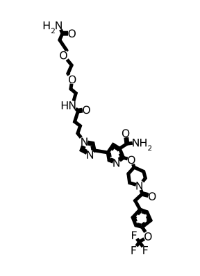 NC(=O)CCOCCOCCNC(=O)CCCn1cnc(-c2cnc(OC3CCN(C(=O)Cc4ccc(OC(F)(F)F)cc4)CC3)c(C(N)=O)c2)c1